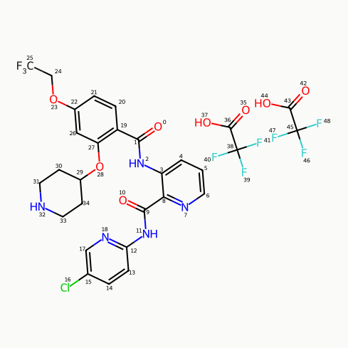 O=C(Nc1cccnc1C(=O)Nc1ccc(Cl)cn1)c1ccc(OCC(F)(F)F)cc1OC1CCNCC1.O=C(O)C(F)(F)F.O=C(O)C(F)(F)F